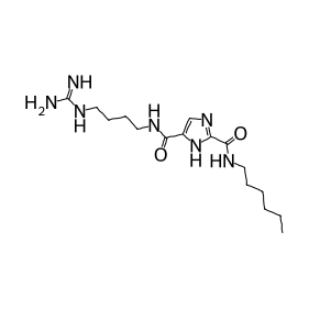 CCCCCCNC(=O)c1ncc(C(=O)NCCCCNC(=N)N)[nH]1